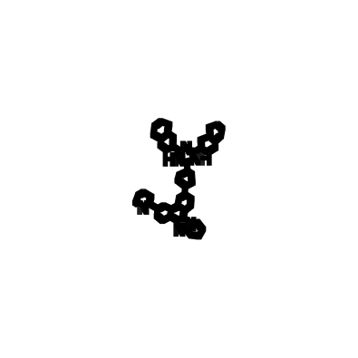 c1ccc(-c2ccc3c(c2)c2cc(-c4ccc(C5NC(c6ccc7ccccc7c6)=NC(c6ccc7ccccc7c6)N5)cc4)ccc2c2c3nc3ccccn32)nc1